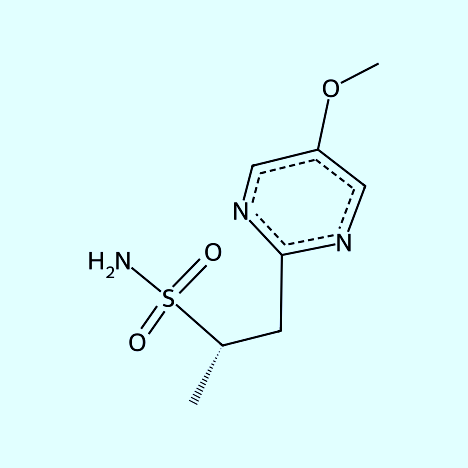 COc1cnc(C[C@H](C)S(N)(=O)=O)nc1